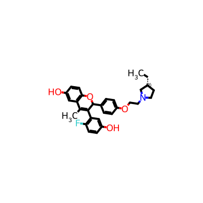 CC[C@@H]1CCN(CCOc2ccc(C3Oc4ccc(O)cc4C(C)=C3c3cc(O)ccc3F)cc2)C1